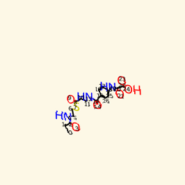 CCC(=O)NCCSC(=O)CCNC(=O)c1ccc(NC(=O)C(=O)O)cc1